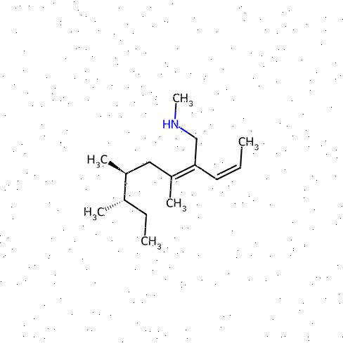 C/C=C\C(CNC)=C(/C)C[C@H](C)[C@@H](C)CC